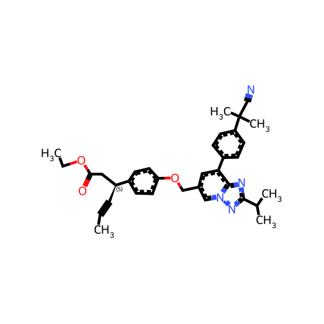 CC#C[C@@H](CC(=O)OCC)c1ccc(OCc2cc(-c3ccc(C(C)(C)C#N)cc3)c3nc(C(C)C)nn3c2)cc1